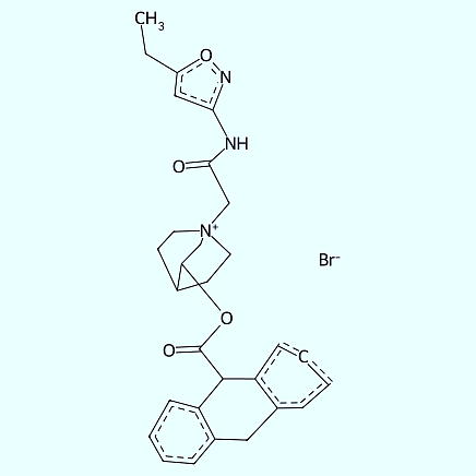 CCc1cc(NC(=O)C[N+]23CCC(CC2)C(OC(=O)C2c4ccccc4Cc4ccccc42)C3)no1.[Br-]